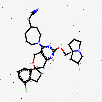 N#CCC1CCCN(c2nc(OC[C@@]34CCCN3C[C@H](F)C4)nc3c2COC2(CCc4c(Cl)cccc42)C3)CC1